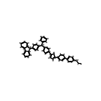 CCOc1ccc(-c2ccc(-c3nnc(-c4ccc(N(c5ccccc5)c5ccc(-n6c7ccccc7c7ccccc76)cc5)cc4)o3)cc2)cc1